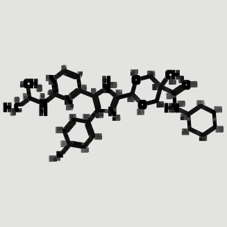 CC(C)Nc1nccc(-c2[nH]c(C3OCC(C)(C(=O)NC4CCCCC4)CO3)nc2-c2ccc(F)cc2)n1